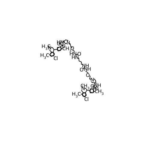 Cc1ccc(C2CN(C)Cc3c(C)cc(Cl)cc32)cc1S(=O)(=O)N[C@H]1CCN(CCOCCNC(=O)NCCCCNC(=O)NCCOCCN2CC[C@H](NS(=O)(=O)c3cc(C4CN(C)Cc5c(C)cc(Cl)cc54)ccc3C)C2)C1